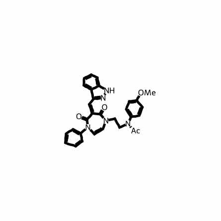 COc1ccc(N(CCN2C=CN(c3ccccc3)C(=O)C(=Cc3n[nH]c4ccccc34)C2=O)C(C)=O)cc1